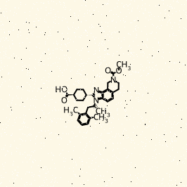 COC(=O)N1CCc2ccc3c(nc([C@H]4CC[C@H](C(=O)O)CC4)n3[C@H](C)Cc3c(C)cccc3C)c2C1